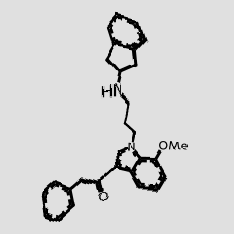 COc1cccc2c(C(=O)Cc3ccccc3)cn(CCCNC3Cc4ccccc4C3)c12